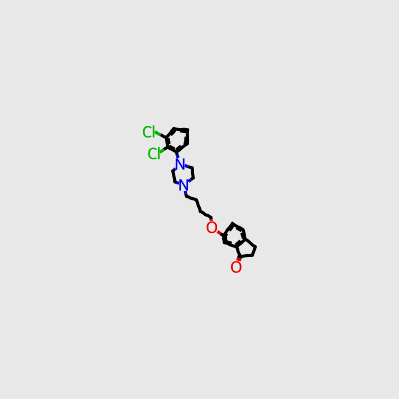 O=C1CCc2ccc(OCCCCN3CCN(c4cccc(Cl)c4Cl)CC3)cc21